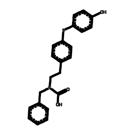 O=C(O)N(CCc1ccc(Sc2ccc(O)cc2)cc1)Cc1ccccc1